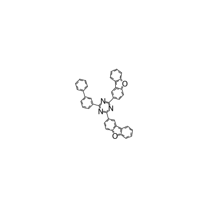 c1ccc(-c2cccc(-c3nc(-c4ccc5oc6ccccc6c5c4)nc(-c4ccc5oc6ccccc6c5c4)n3)c2)cc1